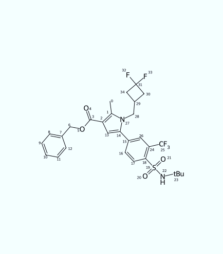 Cc1c(C(=O)OCc2ccccc2)cc(-c2ccc(S(=O)(=O)NC(C)(C)C)c(C(F)(F)F)c2)n1CC1CC(F)(F)C1